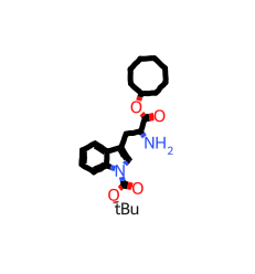 CC(C)(C)OC(=O)n1cc(CC(N)C(=O)OC2CCCCCCC2)c2ccccc21